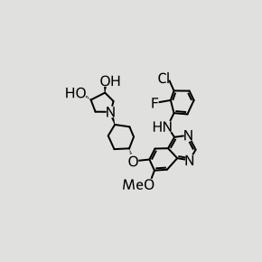 COc1cc2ncnc(Nc3cccc(Cl)c3F)c2cc1O[C@H]1CC[C@H](N2C[C@H](O)[C@@H](O)C2)CC1